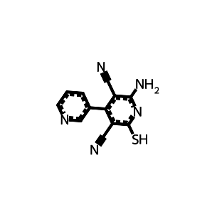 N#Cc1c(N)nc(S)c(C#N)c1-c1cccnc1